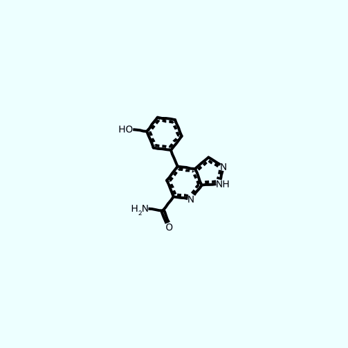 NC(=O)c1cc(-c2cccc(O)c2)c2cn[nH]c2n1